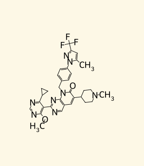 COc1ncnc(C2CC2)c1-c1ncc2cc(C3CCN(C)CC3)c(=O)n(Cc3ccc(-n4nc(C(F)(F)F)cc4C)cc3)c2n1